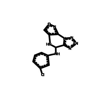 Clc1cccc(NC2Nc3conc3-n3nnnc32)c1